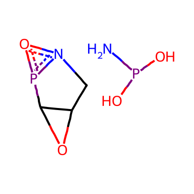 C1C2OC2p2on21.NP(O)O